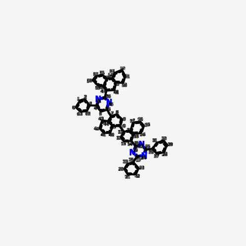 c1ccc(-c2cc(-c3ccc(-c4ccc(-c5nc(-c6ccccc6)nc(-c6ccccc6)n5)c5ccccc45)c4ccccc34)nc(-c3cc4ccccc4c4ccccc34)n2)cc1